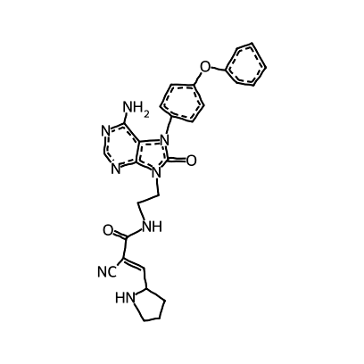 N#CC(=CC1CCCN1)C(=O)NCCn1c(=O)n(-c2ccc(Oc3ccccc3)cc2)c2c(N)ncnc21